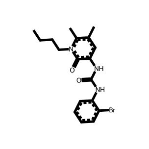 CCCCn1c(C)c(C)cc(NC(=O)Nc2ccccc2Br)c1=O